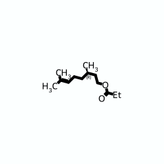 CCC(=O)OCC[C@H](C)CCC=C(C)C